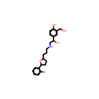 OCc1cc(C(O)CNCCCC2CCC(c3ccccc3Cl)O2)ccc1O